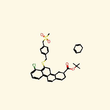 C1=CCCC=C1.CC(C)(C)OC(=O)C1CC=c2ccc3c(c2C1)CC(SCc1ccc(CS(C)(=O)=O)cc1)=c1c(Cl)cccc1=3